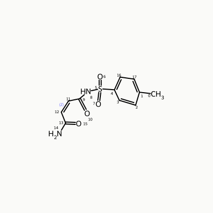 Cc1ccc(S(=O)(=O)NC(=O)/C=C\C(N)=O)cc1